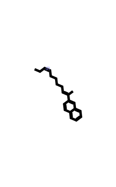 CC/C=C\CCCCC=C(C)c1ccc2ccccc2c1